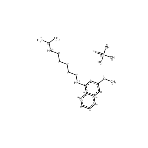 COc1cc(NCCCCCNC(C)C)c2ncccc2c1.O=P(O)(O)O